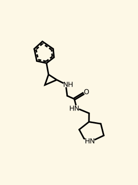 O=C(CNC1CC1c1ccccc1)NCC1CCNCC1